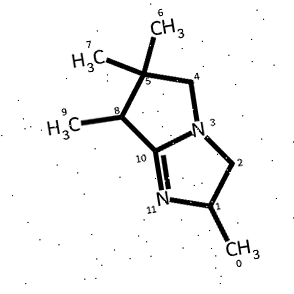 CC1CN2CC(C)(C)C(C)C2=N1